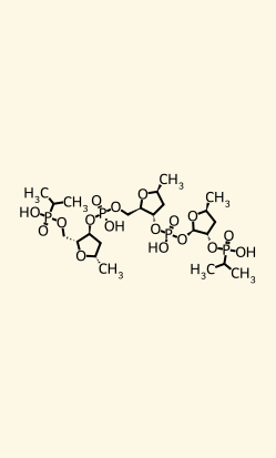 CC(C)P(=O)(O)OC[C@H]1O[C@@H](C)C[C@@H]1OP(=O)(O)OC[C@H]1O[C@@H](C)C[C@@H]1OP(=O)(O)O[C@H]1O[C@@H](C)C[C@@H]1OP(=O)(O)C(C)C